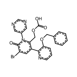 O=C(O)OCc1c(-c2ncccc2OCc2ccccc2)cc(Br)c(=O)n1-c1cncnc1